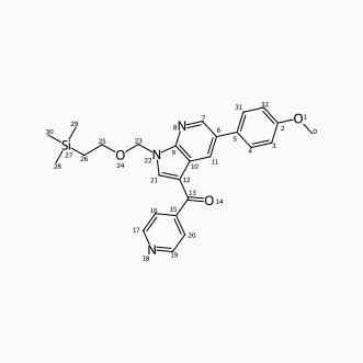 COc1ccc(-c2cnc3c(c2)c(C(=O)c2ccncc2)cn3COCC[Si](C)(C)C)cc1